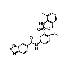 COc1ccc(NC(=O)c2ccc3nsnc3c2)cc1S(=O)(=O)Nc1c(C)cccc1C